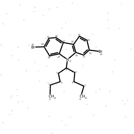 CCCCC(CCCC)n1c2cc(Br)ccc2c2ccc(Br)cc21